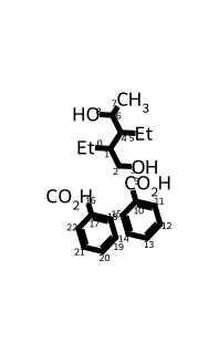 CCC(CO)C(CC)C(C)O.O=C(O)c1ccccc1.O=C(O)c1ccccc1